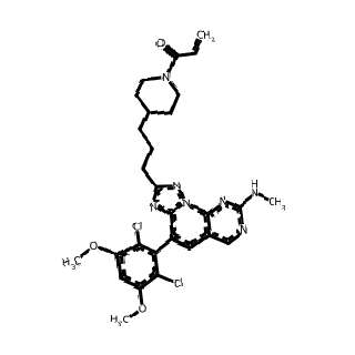 C=CC(=O)N1CCC(CCCc2nc3c(-c4c(Cl)c(OC)cc(OC)c4Cl)cc4cnc(NC)nc4n3n2)CC1